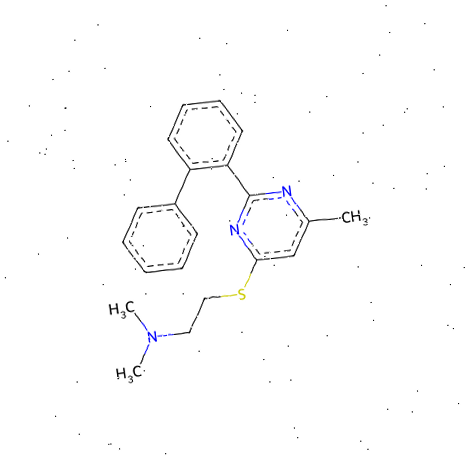 Cc1cc(SCCN(C)C)nc(-c2ccccc2-c2ccccc2)n1